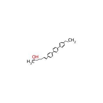 C=CCc1ccc(-c2ccc(-c3ccc(C=CCCCC(C)O)cc3)cc2)cc1